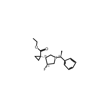 CCOC(=O)C1([C@@H]2CN([C@@H](C)c3ccccc3)C[C@H]2F)CC1